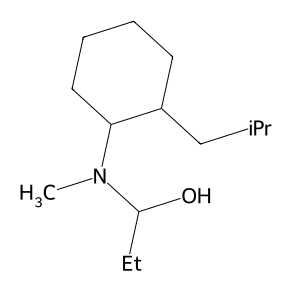 CCC(O)N(C)C1CCCCC1CC(C)C